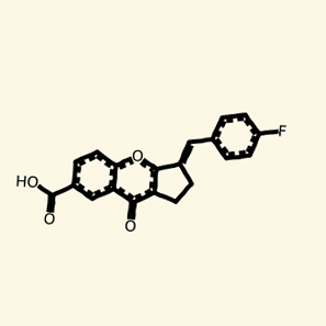 O=C(O)c1ccc2oc3c(c(=O)c2c1)CC/C3=C\c1ccc(F)cc1